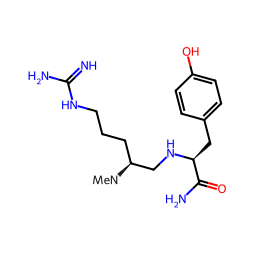 CN[C@@H](CCCNC(=N)N)CN[C@@H](Cc1ccc(O)cc1)C(N)=O